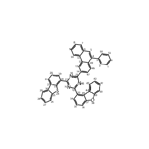 c1ccc(-c2cc3ccccc3c3cc(-c4nc(-c5cccc6c5sc5ccccc56)nc(-c5cccc6oc7ccccc7c56)n4)ccc23)cc1